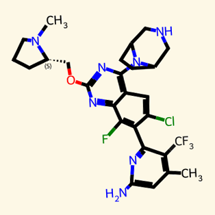 Cc1cc(N)nc(-c2c(Cl)cc3c(N4C5CCC4CNC5)nc(OC[C@@H]4CCCN4C)nc3c2F)c1C(F)(F)F